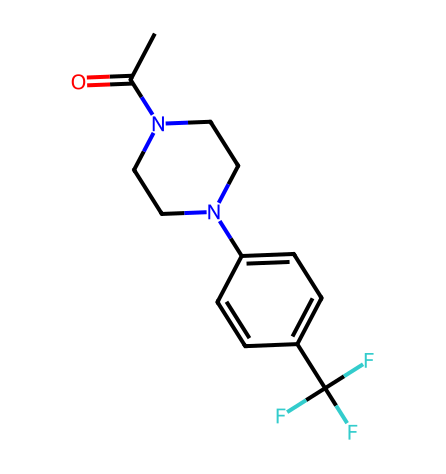 CC(=O)N1CCN(c2ccc(C(F)(F)F)cc2)CC1